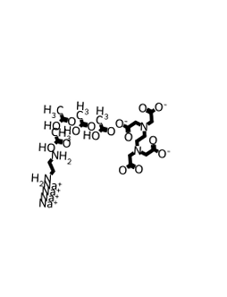 CC(=O)O.CC(=O)O.CC(=O)O.CC(=O)O.NCCN.O=C([O-])CN(CCN(CC(=O)[O-])CC(=O)[O-])CC(=O)[O-].[Na+].[Na+].[Na+].[Na+]